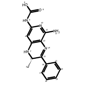 C[C@@H]1Nc2cc(NC(=O)O)nc(N)c2N=C1c1ccccc1